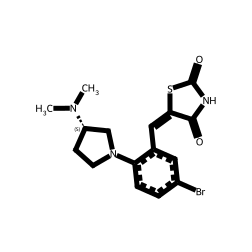 CN(C)[C@H]1CCN(c2ccc(Br)cc2C=C2SC(=O)NC2=O)C1